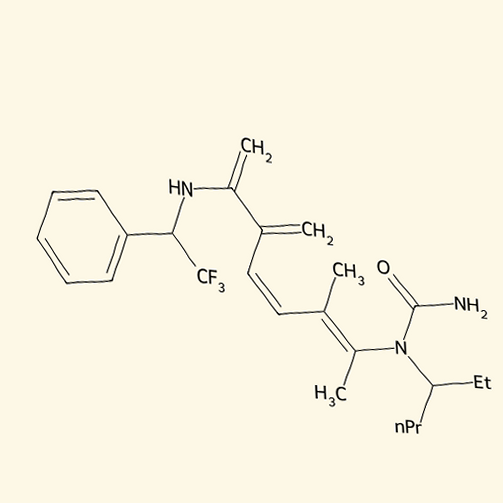 C=C(/C=C\C(C)=C(/C)N(C(N)=O)C(CC)CCC)C(=C)NC(c1ccccc1)C(F)(F)F